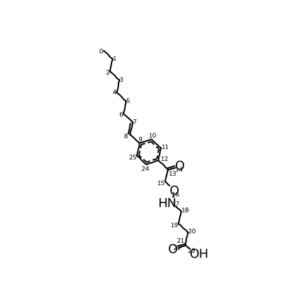 CCCCCCCC=Cc1ccc(C(=O)CONCCCC(=O)O)cc1